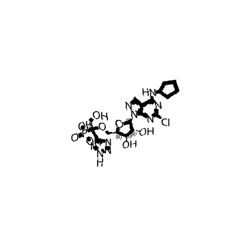 O=P(O)(O)[C@@](CO)(OC[C@H]1O[C@@H](n2ncc3c(NC4CCCC4)nc(Cl)nc32)[C@H](O)[C@@H]1O)c1nn[nH]n1